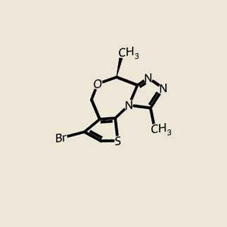 Cc1nnc2n1-c1scc(Br)c1CO[C@H]2C